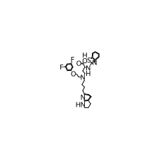 O=C(O)C(CCN(CCCCc1ccc2c(n1)NCCC2)CCOc1cc(F)cc(F)c1)Nc1nc2ccccc2s1